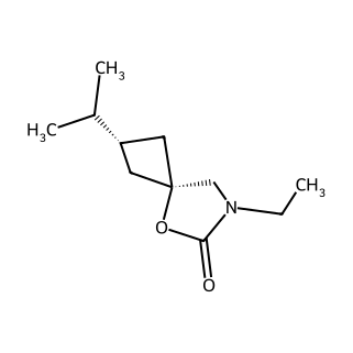 CCN1C[C@]2(C[C@@H](C(C)C)C2)OC1=O